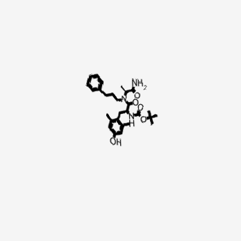 Cc1cc(O)cc(C)c1CC(NC(=O)OC(C)(C)C)C(=O)N(CCCc1ccccc1)[C@@H](C)C(N)=O